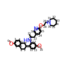 COc1ccc2c(c1)CCC(c1ccc(OC)cc1NC(C)Cc1ccc(OCCN3CCCCCC3)nc1)C2